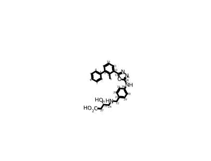 Cc1c(-c2ccccc2)cccc1-c1nnc(Nc2ccc(CNC[C@@H](O)CC(=O)O)cc2)o1